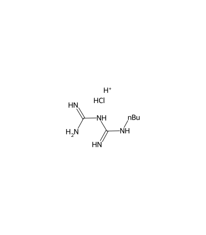 CCCCNC(=N)NC(=N)N.Cl.[H+]